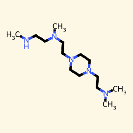 CNCCN(C)CCN1CCN(CCN(C)C)CC1